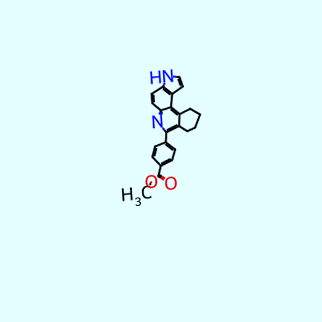 COC(=O)c1ccc(-c2nc3ccc4[nH]ccc4c3c3c2CCCC3)cc1